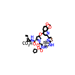 C=C[C@@H]1C[C@]1(NC(=O)[C@@H]1C[C@@H](Oc2cc(-c3csc(NC(C)C)n3)nc3c4c(ccc23)OCO4)CN1C(=O)[C@@H](NC(=O)OC1CCCC1)C(C)(C)C)C(=O)O